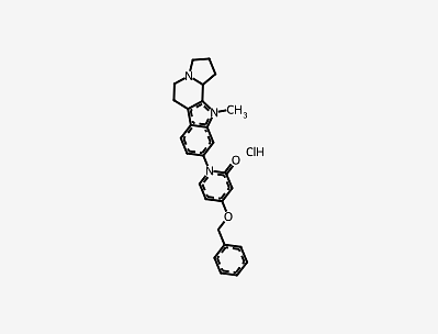 Cl.Cn1c2c(c3ccc(-n4ccc(OCc5ccccc5)cc4=O)cc31)CCN1CCCC21